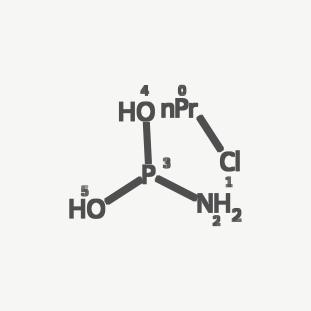 CCCCl.NP(O)O